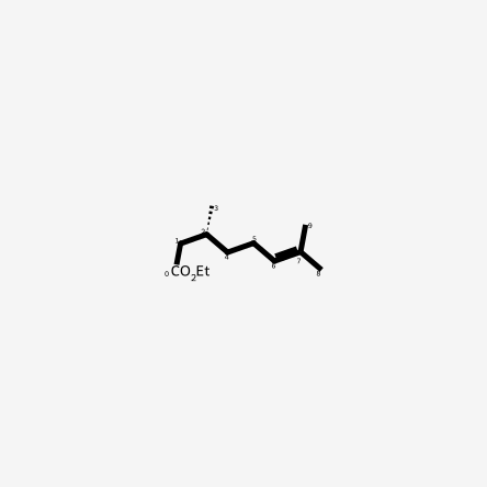 CCOC(=O)C[C@H](C)CCC=C(C)C